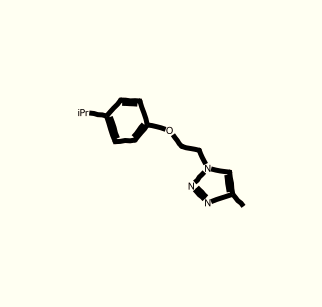 Cc1cn(CCOc2ccc(C(C)C)cc2)nn1